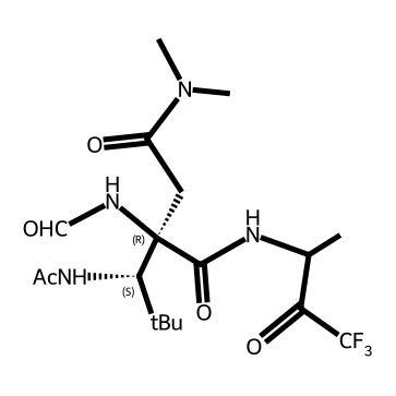 CC(=O)N[C@@H](C(C)(C)C)[C@@](CC(=O)N(C)C)(NC=O)C(=O)NC(C)C(=O)C(F)(F)F